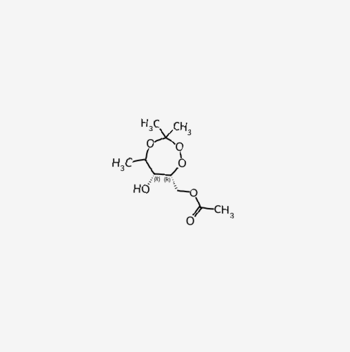 CC(=O)OC[C@H]1OOC(C)(C)OC(C)[C@H]1O